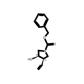 C=C[C@@H]1CN(C(=O)OCc2ccccc2)C[C@@H]1O